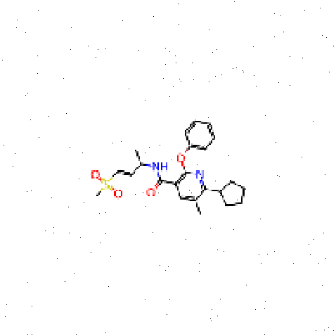 Cc1cc(C(=O)NC(C)C=CS(C)(=O)=O)c(Oc2ccccc2)nc1C1CCCC1